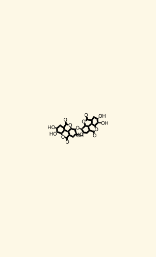 O=c1oc2c(Oc3c(O)cc4c(=O)oc5c(O)c(O)cc6c(=O)oc3c4c56)c(O)cc3c(=O)oc4c(O)c(O)cc1c4c23